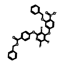 O=C(OCc1ccccc1)c1ccc(Oc2nc(F)c(F)c(Oc3ccc([N+](=O)[O-])c(OCc4ccccc4)c3)c2F)cc1